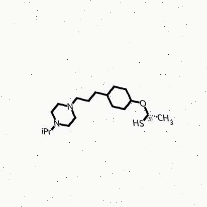 CC(C)N1CCN(CCCC2CCC(O[C@H](C)S)CC2)CC1